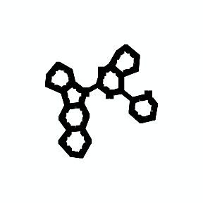 c1ccc(-c2nc(-n3c4ccccc4c4cc5ccccc5cc43)nc3ccccc23)nc1